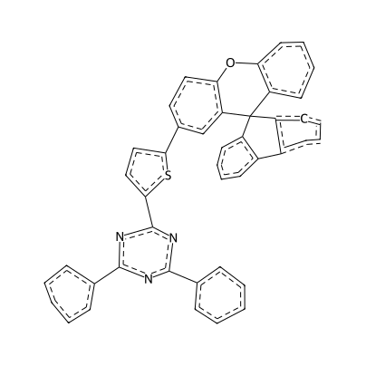 c1ccc(-c2nc(-c3ccccc3)nc(-c3ccc(-c4ccc5c(c4)C4(c6ccccc6O5)c5ccccc5-c5ccccc54)s3)n2)cc1